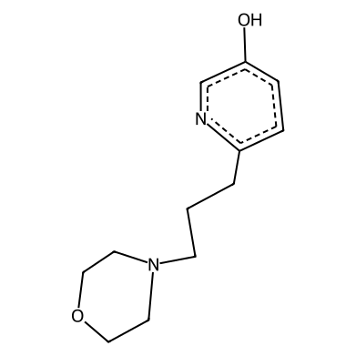 Oc1ccc(CCCN2CCOCC2)nc1